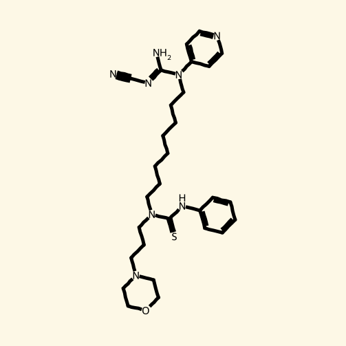 N#CN=C(N)N(CCCCCCCCN(CCCN1CCOCC1)C(=S)Nc1ccccc1)c1ccncc1